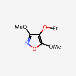 CCOc1c(OC)noc1OC